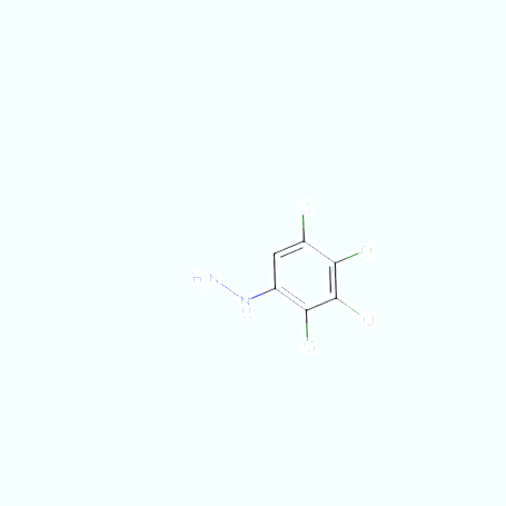 NNc1cc(Cl)c(Cl)c(Cl)c1Cl